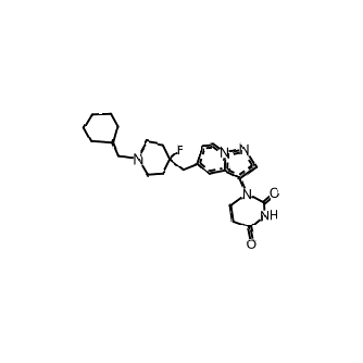 O=C1CCN(c2cnn3ccc(CC4(F)CCN(CC5CCCCC5)CC4)cc23)C(=O)N1